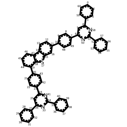 c1ccc(-c2cc(-c3ccc(-c4ccc5c(c4)sc4c(-c6ccc(-c7cc(-c8ccccc8)nc(-c8ccccc8)n7)cc6)cccc45)cc3)nc(-c3ccccc3)n2)cc1